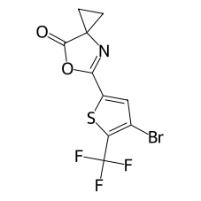 O=C1OC(c2cc(Br)c(C(F)(F)F)s2)=NC12CC2